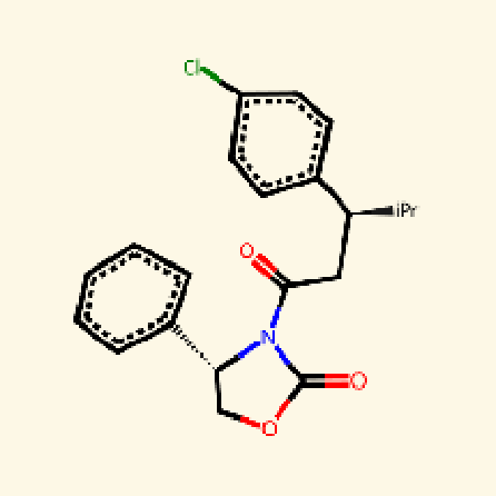 CC(C)[C@@H](CC(=O)N1C(=O)OC[C@@H]1c1ccccc1)c1ccc(Cl)cc1